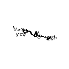 COc1cc(/C=C/c2ccc(OC(=O)OCCCNC(=O)C(N)C(C)C)cc2)cc(OC)c1